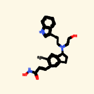 O=C(C=Cc1cc2c(cc1[N+](=O)[O-])C(N(CCO)CCc1c[nH]c3ccccc13)CC2)NO